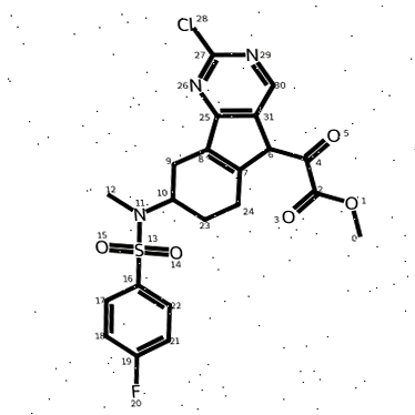 COC(=O)C(=O)C1C2=C(CC(N(C)S(=O)(=O)c3ccc(F)cc3)CC2)c2nc(Cl)ncc21